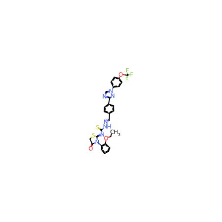 CCOc1ccccc1N1C(=O)CS/C1=N\C(=S)N/N=C/c1ccc(-c2ncn(-c3ccc(OC(F)(F)F)cc3)n2)cc1